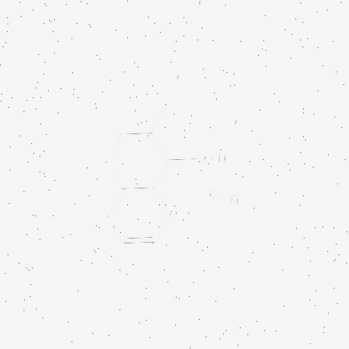 Cc1ccc2ccccc2c1S(=O)(=O)O.[Cs].[Fr]